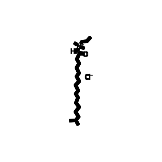 CCC[N+](C)(C)NC(=O)CCCCCCCCCCCCCCC(C)C.[Cl-]